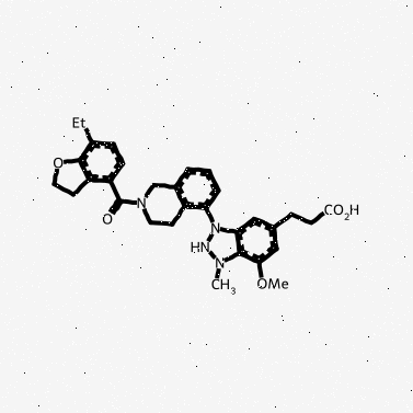 CCc1ccc(C(=O)N2CCc3c(cccc3N3NN(C)c4c(OC)cc(CCC(=O)O)cc43)C2)c2c1OCC2